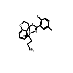 NCCC(=O)N1N=C(c2cc(F)ccc2F)SC12CCOc1ccccc12